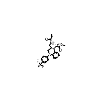 C=CC(=O)NCC1CN(c2ccc(C(F)(F)F)cc2)c2ccccc2N1CC(=O)NC